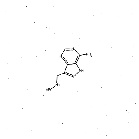 CCCNCc1c[nH]c2c(N)ncnc12